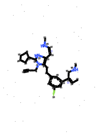 C#CCN1C(CCc2cc(F)cc(/C(=C/C)CNC)c2)=C(/C=C\NC)NC1C1CCCC1